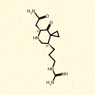 N=C(N)NCCC[C@H]1CN[C@@H](CC(N)=O)C(=O)C12CC2